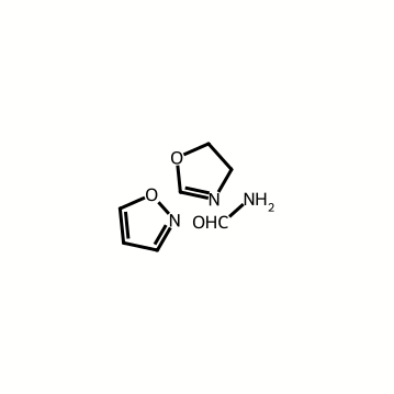 C1=NCCO1.NC=O.c1cnoc1